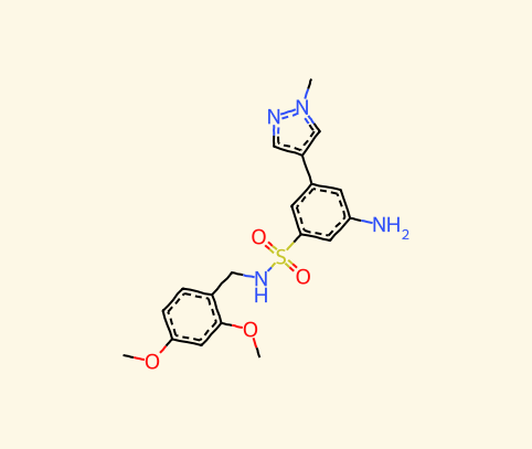 COc1ccc(CNS(=O)(=O)c2cc(N)cc(-c3cnn(C)c3)c2)c(OC)c1